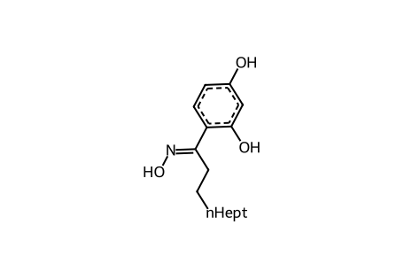 CCCCCCCCC/C(=N\O)c1ccc(O)cc1O